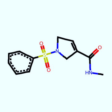 CNC(=O)C1=CCN(S(=O)(=O)c2ccccc2)C1